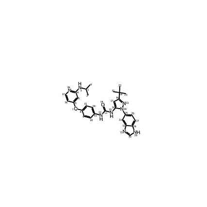 CC(C)Nc1cc(Oc2ccc(NC(=O)Nc3cc(C(C)(C)C)nn3-c3ccc4[nH]cnc4c3)cc2)ccn1